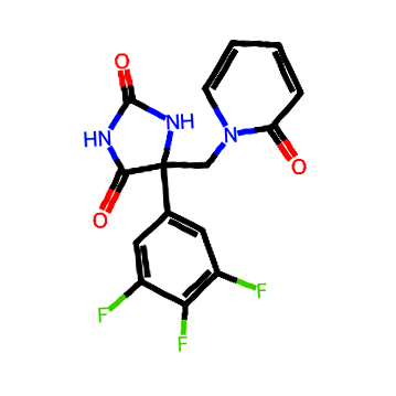 O=C1NC(=O)C(Cn2ccccc2=O)(c2cc(F)c(F)c(F)c2)N1